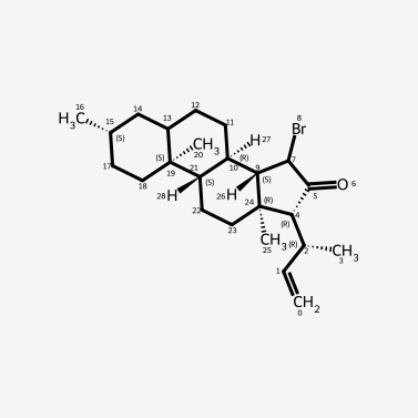 C=C[C@@H](C)[C@H]1C(=O)C(Br)[C@H]2[C@@H]3CCC4C[C@@H](C)CC[C@]4(C)[C@H]3CC[C@]12C